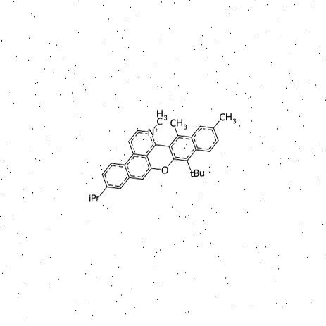 Cc1ccc2c(C(C)(C)C)c3c(c(C)c2c1)-c1c2c(cc4cc(C(C)C)ccc4c2cc[n+]1C)O3